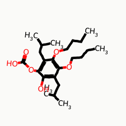 CCCCOc1c(CC(C)C)c(O)c(OC(=O)O)c(CC(C)C)c1OCCCC